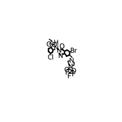 CCS(=O)(=O)c1ccc(Cl)cc1Nn1cnc2cc(CN3CCN(S(=O)(=O)C(F)(F)F)CC3)c(Br)cc2c1=O